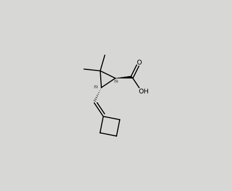 CC1(C)[C@@H](C=C2CCC2)[C@@H]1C(=O)O